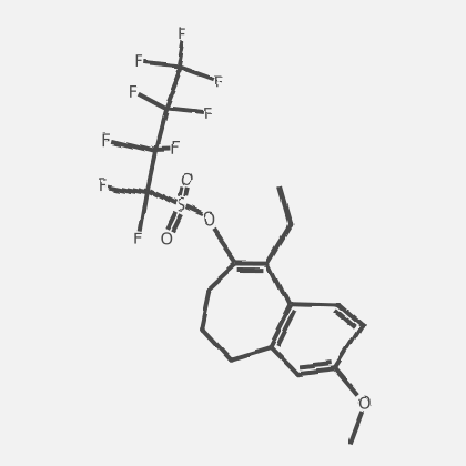 CCC1=C(OS(=O)(=O)C(F)(F)C(F)(F)C(F)(F)C(F)(F)F)CCCc2cc(OC)ccc21